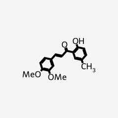 COc1ccc(C=CC(=O)c2cc(C)ccc2O)cc1OC